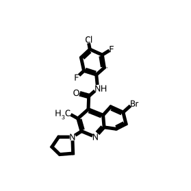 Cc1c(N2CCCC2)nc2ccc(Br)cc2c1C(=O)Nc1[c]c(F)c(Cl)cc1F